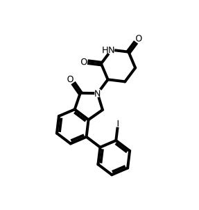 O=C1CCC(N2Cc3c(cccc3-c3ccccc3I)C2=O)C(=O)N1